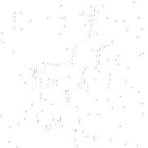 CC(C)c1c(F)c(C#N)cc(C2CC2)c1NC(=O)N=S(N)(=O)c1cnc(C(C)(C)O)s1